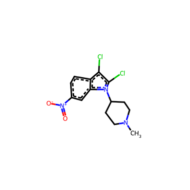 CN1CCC(n2c(Cl)c(Cl)c3ccc([N+](=O)[O-])cc32)CC1